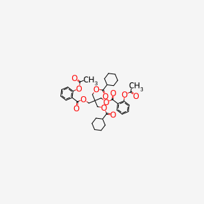 CC(=O)Oc1ccccc1C(=O)OCC(COC(=O)c1ccccc1OC(C)=O)(COC(=O)C1CCCCC1)COC(=O)C1CCCCC1